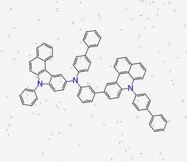 c1ccc(-c2ccc(N(c3cccc(-c4ccc5c(c4)-c4cccc6cccc(c46)N5c4ccc(-c5ccccc5)cc4)c3)c3ccc4c(c3)c3c5ccccc5ccc3n4-c3ccccc3)cc2)cc1